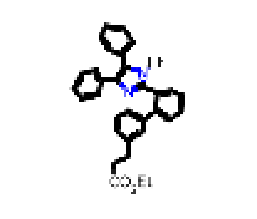 CCOC(=O)CCc1cccc(-c2ccccc2-c2nc(-c3ccccc3)c(-c3ccccc3)n2CC)c1